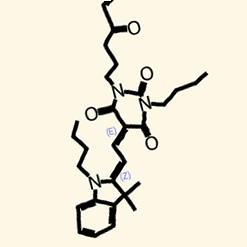 C=CC(=O)CCCN1C(=O)/C(=C/C=C2\N(CCCC)c3ccccc3C2(C)C)C(=O)N(CCCC)C1=O